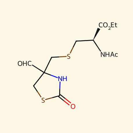 CCOC(=O)[C@H](CSCC1(C=O)CSC(=O)N1)NC(C)=O